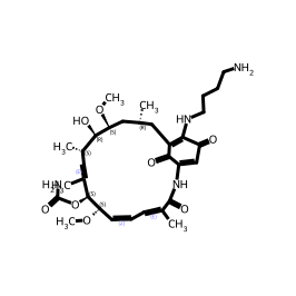 CO[C@H]1/C=C\C=C(/C)C(=O)NC2=CC(=O)C(NCCCCN)=C(C[C@@H](C)C[C@H](OC)[C@H](O)[C@@H](C)/C=C(\C)[C@@H]1OC(N)=O)C2=O